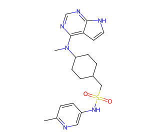 Cc1ccc(NS(=O)(=O)CC2CCC(N(C)c3ncnc4[nH]ccc34)CC2)cn1